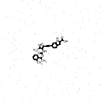 Cc1ccccc1C(C)OC(=O)Nc1c(C)noc1C#Cc1ccc2cc(C(=O)O)[nH]c2c1